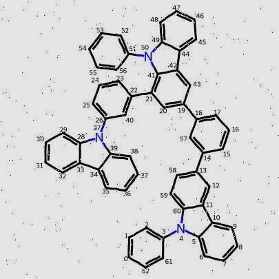 c1ccc(-n2c3ccccc3c3cc(-c4cccc(-c5cc(-c6cccc(-n7c8ccccc8c8ccccc87)c6)c6c(c5)c5ccccc5n6-c5ccccc5)c4)ccc32)cc1